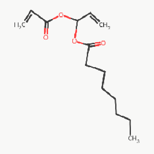 C=CC(=O)OC(C=C)OC(=O)CCCCCCC